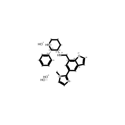 Cl.Cl.Cl.Cn1ccnc1-c1cc(CN[C@H]2CCCN[C@H]2c2ccccc2)c2occc2c1